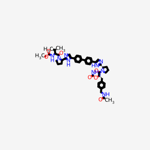 COC(=O)NC(C(=O)N1CCCC1c1ncc(-c2ccc(-c3ccc(-c4cnc([C@@H]5CCCN5C(=O)[C@H](Cc5ccc(CNC(C)=O)cc5)OC(N)=O)[nH]4)cc3)cc2)[nH]1)C(C)C